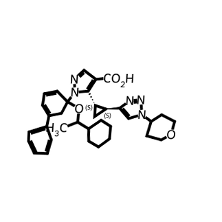 CC(OC1(n2ncc(C(=O)O)c2[C@H]2C[C@@H]2c2cn(C3CCOCC3)nn2)C=CC=C(c2ccccc2)C1)C1CCCCC1